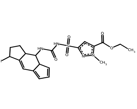 CCOC(=O)c1cc(S(=O)(=O)NC(=O)NC2C3C=CC=C3C=C3C(I)CCC32)nn1C